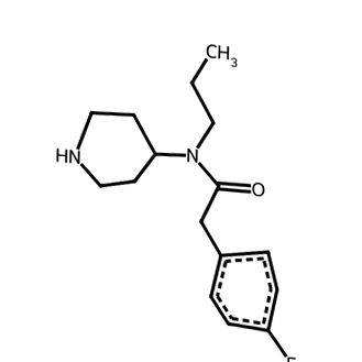 CCCN(C(=O)Cc1ccc(F)cc1)C1CCNCC1